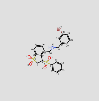 O=S1(=O)CC(S(=O)(=O)c2ccccc2)c2c(CNCc3cccc(Br)c3)cccc21